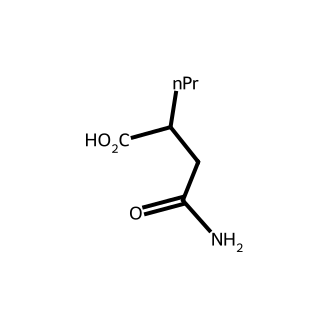 CCCC(CC(N)=O)C(=O)O